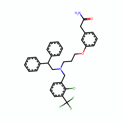 NC(=O)Cc1cccc(OCCCN(Cc2cccc(C(F)(F)F)c2Cl)CC(c2ccccc2)c2ccccc2)c1